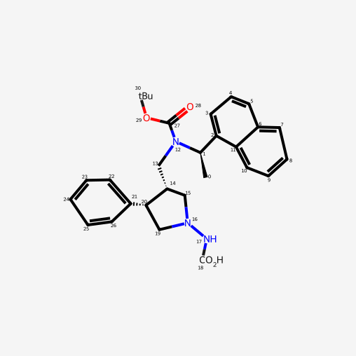 C[C@H](c1cccc2ccccc12)N(C[C@@H]1CN(NC(=O)O)C[C@@H]1c1ccccc1)C(=O)OC(C)(C)C